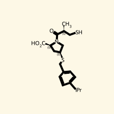 CC(C)c1ccc(CS[C@H]2C[C@@H](C(=O)O)N(C(=O)[C@H](C)CS)C2)cc1